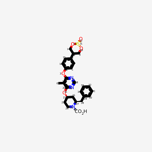 Cc1c(Oc2ccc(C3COS(=O)OC3)cc2)ncnc1O[C@@H]1CCN(C(=O)O)[C@H](Cc2ccccc2)C1